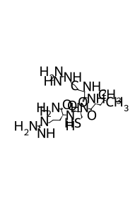 CC(C)C[C@H](NC(=O)[C@@H](N)CCCNC(=N)N)C(=O)N[C@@H](CS)C(=O)N[C@@H](CCCNC(=N)N)C(N)=O